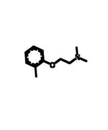 Cc1ccccc1OCCN(C)C